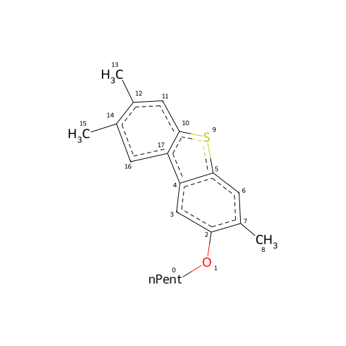 CCCCCOc1cc2c(cc1C)sc1cc(C)c(C)cc12